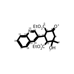 CCOC(=O)C1C(=O)CC(C)(O)C(C(=O)OCC)C1c1cnc2ccccc2c1